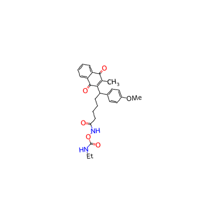 CCNC(=O)ONC(=O)CCCCC(C1=C(C)C(=O)c2ccccc2C1=O)c1ccc(OC)cc1